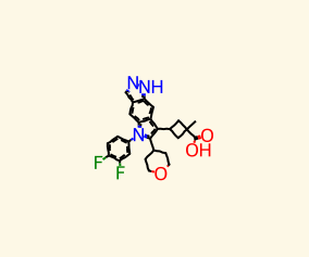 CC1(C(=O)O)CC(c2c(C3CCOCC3)n(-c3ccc(F)c(F)c3)c3cc4cn[nH]c4cc23)C1